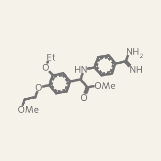 CCOc1cc(C(Nc2ccc(C(=N)N)cc2)C(=O)OC)ccc1OCCOC